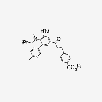 Cc1ccc(-c2cc(C(=O)C=Cc3ccc(C(=O)O)cc3)cc(C(C)(C)C)c2N(C)CC(C)C)cc1